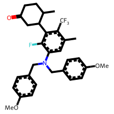 COc1ccc(CN(Cc2ccc(OC)cc2)c2cc(C)c(C(F)(F)F)c(C3CC(=O)CCC3C)c2F)cc1